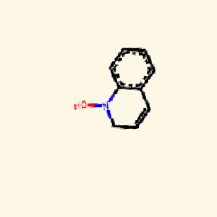 ON1[CH]C=Cc2ccccc21